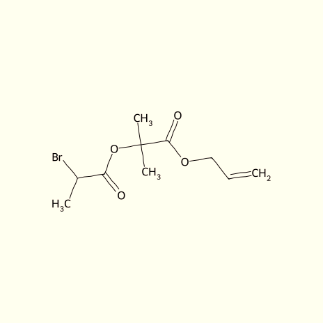 C=CCOC(=O)C(C)(C)OC(=O)C(C)Br